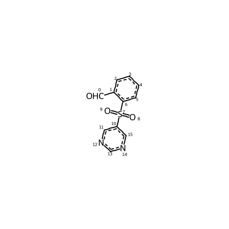 O=Cc1ccccc1S(=O)(=O)c1cncnc1